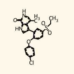 CCS(=O)(=O)c1ccc(Oc2ccc(Cl)cc2)c(-c2c[nH]c3c(=O)[nH]cc(C)c23)c1